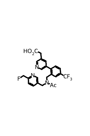 CC(=O)N(Cc1ccc(CF)nc1)Cc1cc(C(F)(F)F)ccc1-c1cncc(CC(=O)O)c1